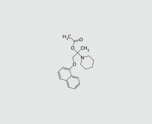 CC(=O)OC(C)(COc1cccc2ccccc12)N1CCCCC1